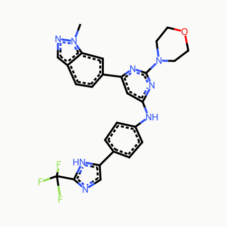 Cn1ncc2ccc(-c3cc(Nc4ccc(-c5cnc(C(F)(F)F)[nH]5)cc4)nc(N4CCOCC4)n3)cc21